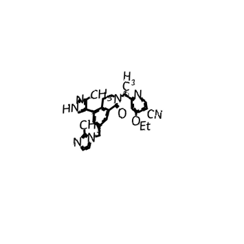 CCOc1cc([C@H](C)N2CCc3c(cc(Cn4ccnc4C)cc3-c3c[nH]nc3C)C2=O)ncc1C#N